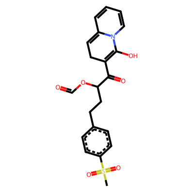 CS(=O)(=O)c1ccc(CCC(OC=O)C(=O)C2=C(O)N3C=CC=CC3=CC2)cc1